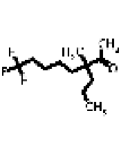 CCCC(C)(CCCCC(F)(F)F)C(C)=O